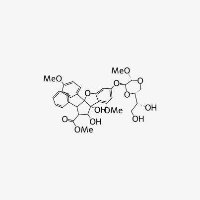 COC(=O)C1C(O)C2(O)c3c(OC)cc(O[C@@H]4O[C@@H]([C@H](O)CO)CO[C@H]4OC)cc3OC2(c2ccc(OC)cc2)C1c1ccccc1